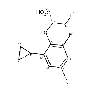 O=C(O)[C@H](CF)Oc1c(F)cc(F)cc1C1CC1